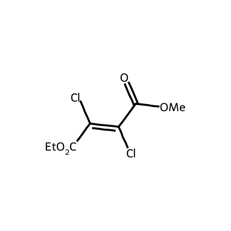 CCOC(=O)C(Cl)=C(Cl)C(=O)OC